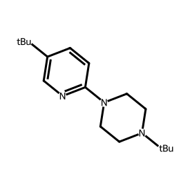 CC(C)(C)c1ccc(N2CCN(C(C)(C)C)CC2)nc1